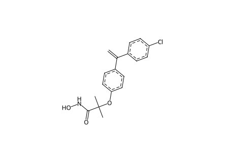 C=C(c1ccc(Cl)cc1)c1ccc(OC(C)(C)C(=O)NO)cc1